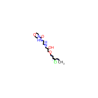 C\C=C/C(Cl)=C\C=C\OC[C@@H](O)CNCCNC(=O)N1CCOCC1